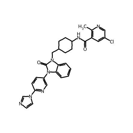 Cc1ncc(Cl)cc1C(=O)NC1CCC(Cn2c(=O)n(-c3ccc(-n4ccnc4)nc3)c3ccccc32)CC1